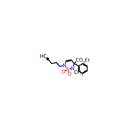 C#CCCCN1C=CC(C(=O)OCC)(c2ccccc2)N(C)S1(=O)=O